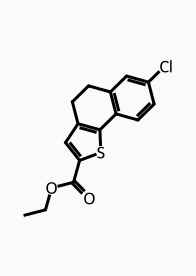 CCOC(=O)c1cc2c(s1)-c1ccc(Cl)cc1CC2